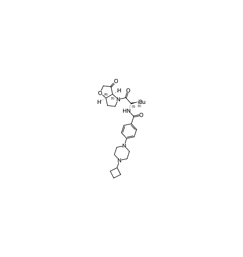 CC[C@H](C)[C@H](NC(=O)c1ccc(N2CCN(C3CCC3)CC2)cc1)C(=O)N1CC[C@H]2OCC(=O)[C@H]21